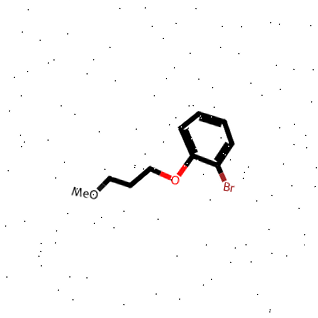 COCCCOc1ccccc1Br